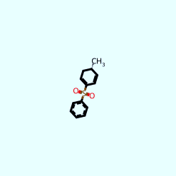 C[C@@H]1C=CC(S(=O)(=O)c2ccccc2)=CC1